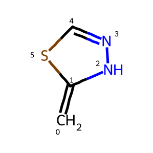 C=C1NN=CS1